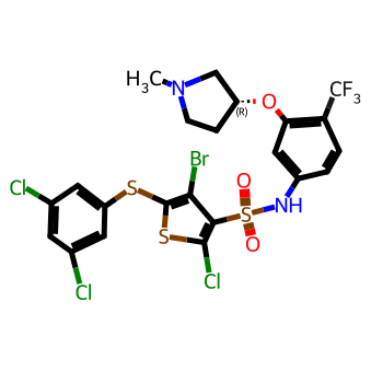 CN1CC[C@@H](Oc2cc(NS(=O)(=O)c3c(Cl)sc(Sc4cc(Cl)cc(Cl)c4)c3Br)ccc2C(F)(F)F)C1